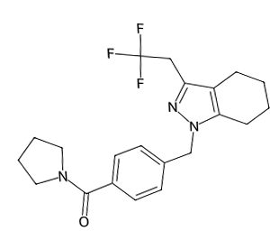 O=C(c1ccc(Cn2nc(CC(F)(F)F)c3c2CCCC3)cc1)N1CCCC1